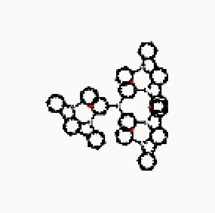 c1ccc(-n2c3ccccc3c3ccc4c5ccccc5n(-c5cccc(N(c6cccc(-n7c8ccccc8c8ccc9c%10ccccc%10n(-c%10ccccc%10)c9c87)c6)c6cccc(-n7c8ccccc8c8ccc9c%10ccccc%10n(-c%10ccccc%10)c9c87)c6)c5)c4c32)cc1